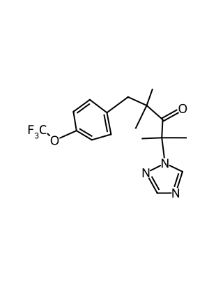 CC(C)(Cc1ccc(OC(F)(F)F)cc1)C(=O)C(C)(C)n1cncn1